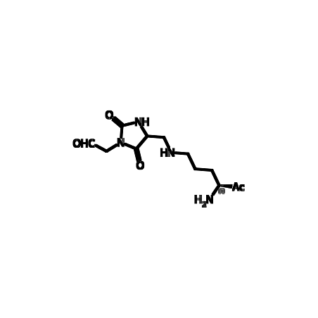 CC(=O)[C@@H](N)CCCNCC1NC(=O)N(CC=O)C1=O